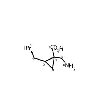 CC(C)CC1CC1(CN)C(=O)O